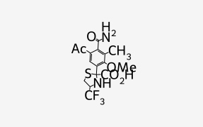 COc1c(C2(C(=O)O)NC(C(F)(F)F)CS2)cc(C(C)=O)c(C(N)=O)c1C